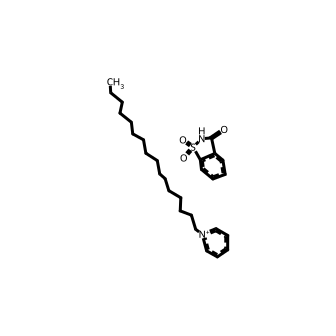 CCCCCCCCCCCCCCCC[n+]1ccccc1.O=C1NS(=O)(=O)c2ccccc21